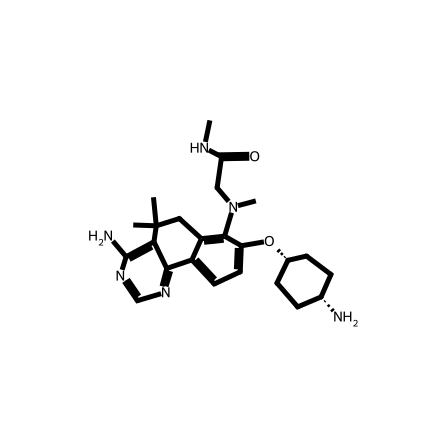 CNC(=O)CN(C)c1c(O[C@H]2CC[C@@H](N)CC2)ccc2c1CC(C)(C)c1c(N)ncnc1-2